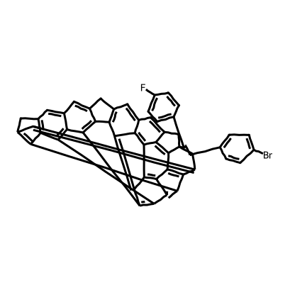 Fc1ccc(C2CC(c3ccc(Br)cc3)C3c4cc5c6c7c(cc8cc9c%10c%11c(cc%12cc%13c%14c(c%15c4c6c4c%15c6c%14c%12c%11c6c6c%10c8c7c46)C23C%13)C9)C5)cc1